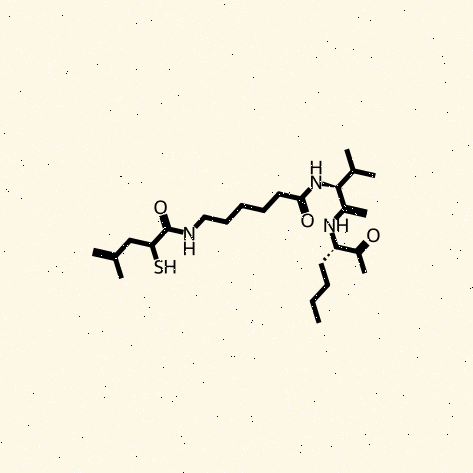 C=C(C)CC(S)C(=O)NCCCCCC(=O)N[C@H](C(=C)N[C@@H](CCCC)C(C)=O)C(C)C